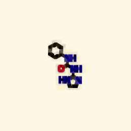 O=C(Nc1ccccc1)Nc1ncc[nH]1